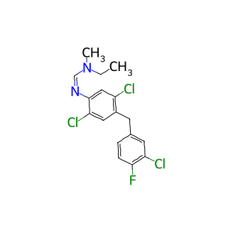 CCN(C)/C=N\c1cc(Cl)c(Cc2ccc(F)c(Cl)c2)cc1Cl